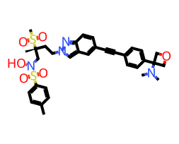 Cc1ccc(S(=O)(=O)N(O)C[C@@](C)(CCn2cc3cc(C#Cc4ccc(C5(N(C)C)COC5)cc4)ccc3n2)S(C)(=O)=O)cc1